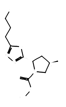 CC(C)(C)OC(=O)N1C[C@H](F)C[C@H]1c1nnc(CCCC(F)(F)F)o1